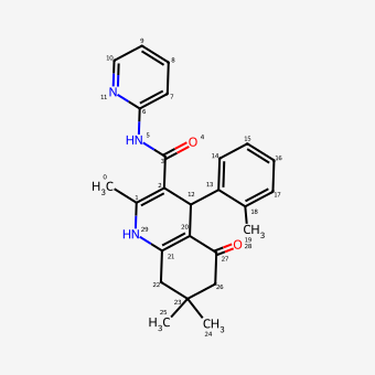 CC1=C(C(=O)Nc2ccccn2)C(c2ccccc2C)C2=C(CC(C)(C)CC2=O)N1